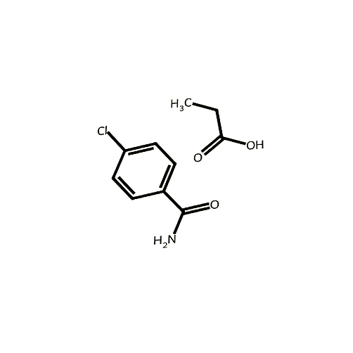 CCC(=O)O.NC(=O)c1ccc(Cl)cc1